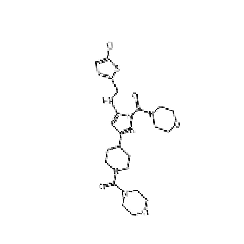 O=C(N1CCOCC1)N1CCC(c2cc(NCc3ccc(Cl)s3)n(C(=O)N3CCOCC3)n2)CC1